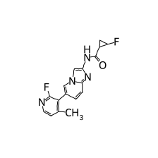 Cc1ccnc(F)c1-c1ccc2nc(NC(=O)C3CC3F)cn2c1